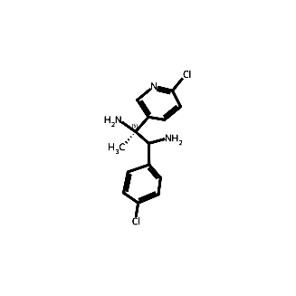 C[C@](N)(c1ccc(Cl)nc1)C(N)c1ccc(Cl)cc1